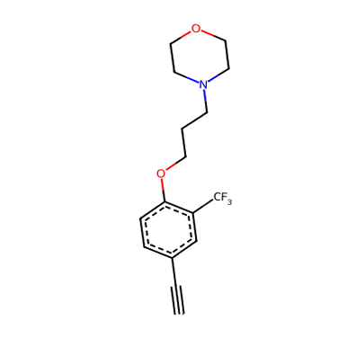 [C]#Cc1ccc(OCCCN2CCOCC2)c(C(F)(F)F)c1